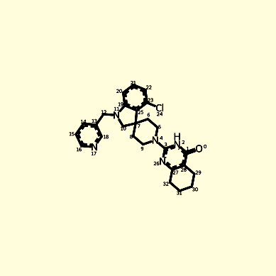 O=c1[nH]c(N2CCC3(CC2)CN(Cc2cccnc2)c2cccc(Cl)c23)nc2c1CCCC2